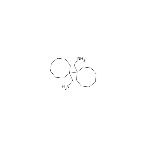 NCC1(C2(CN)CCCCCCC2)CCCCCCC1